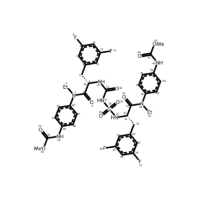 CCN(C(=O)[C@H](Cc1cc(F)cc(F)c1)NC(=O)NS(=O)(=O)N[C@@H](Cc1cc(F)cc(F)c1)C(=O)N(CC)c1ccc(NC(=O)OC)cc1)c1ccc(NC(=O)OC)cc1